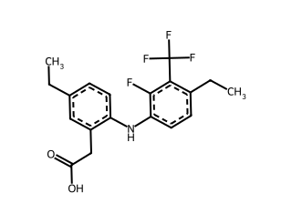 CCc1ccc(Nc2ccc(CC)c(C(F)(F)F)c2F)c(CC(=O)O)c1